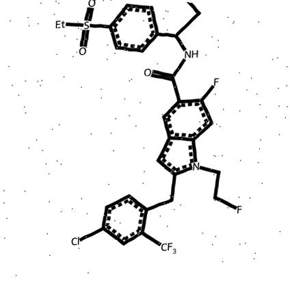 CCS(=O)(=O)c1ccc(C(CO)NC(=O)c2cc3cc(Cc4ccc(Cl)cc4C(F)(F)F)n(CCF)c3cc2F)cc1